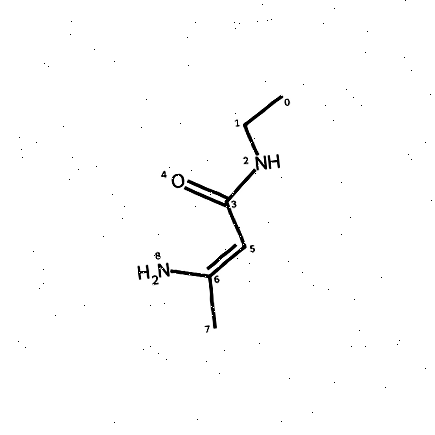 CCNC(=O)/C=C(/C)N